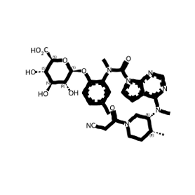 Cc1ccc(O[C@@H]2O[C@H](C(=O)O)[C@@H](O)[C@H](O)[C@H]2O)c(N(C)C(=O)n2ccc3c(N(C)[C@H]4CN(C(=O)CC#N)CC[C@H]4C)ncnc32)c1